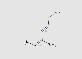 CCCC/C=C/C(C)=C\N